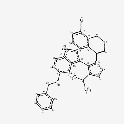 CC(C)c1ncn(C2CCCc3c(Cl)cccc32)c1-c1c[nH]c2cnc(OCc3ccccc3)cc12